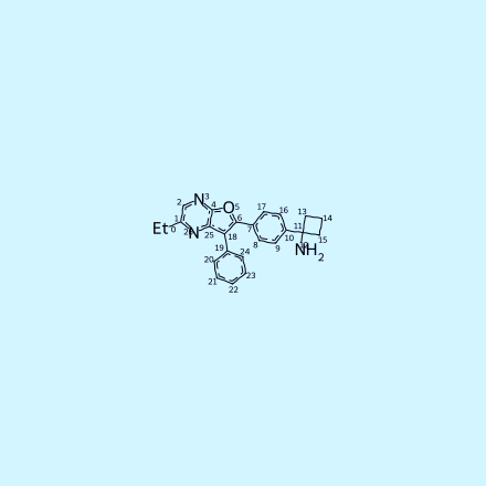 CCc1cnc2oc(-c3ccc(C4(N)CCC4)cc3)c(-c3ccccc3)c2n1